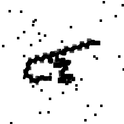 CCCCC/C=C\C/C=C\C/C=C\CCCCC(=O)O[C@H](COCCCCCCCCCCCCCCCC)COP(=O)(O)OC[C@H](N)C(=O)O